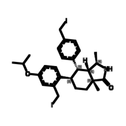 CC(C)Oc1ccc([C@@H]2CC[C@@]3(C)C(=O)N[C@H](C)[C@H]3[C@H]2c2ccc(CI)cc2)c(CI)c1